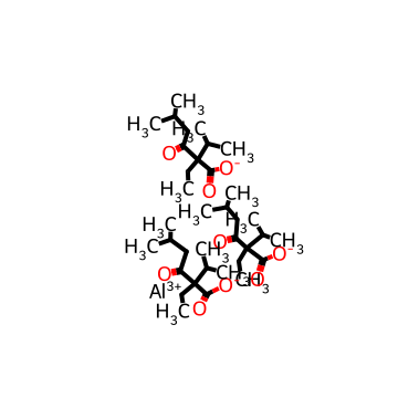 CCC(C(=O)[O-])(C(=O)CC(C)C)C(C)C.CCC(C(=O)[O-])(C(=O)CC(C)C)C(C)C.CCC(C(=O)[O-])(C(=O)CC(C)C)C(C)C.[Al+3]